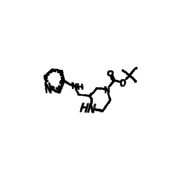 CC(C)(C)OC(=O)N1CCNC(CNc2cccnc2)C1